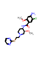 COc1cc(N)c(Cl)cc1C(=O)N[C@@H]1CCN(CCSc2ncccn2)C[C@@H]1OC